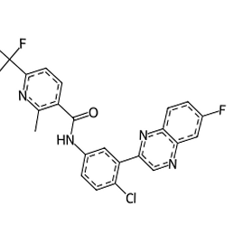 Cc1nc(C(F)(F)F)ccc1C(=O)Nc1ccc(Cl)c(-c2cnc3cc(F)ccc3n2)c1